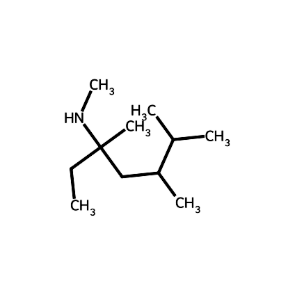 CCC(C)(CC(C)C(C)C)NC